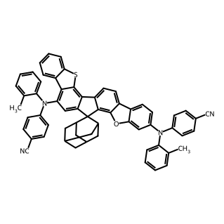 Cc1ccccc1N(c1ccc(C#N)cc1)c1ccc2c(c1)oc1c3c(ccc12)-c1c(cc(N(c2ccc(C#N)cc2)c2ccccc2C)c2c1sc1ccccc12)C31C2CC3CC(C2)CC1C3